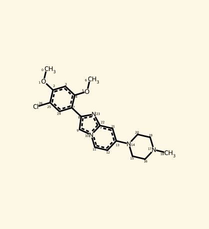 COc1cc(OC)c(-c2cn3ccc(N4CCN(C)CC4)cc3n2)cc1Cl